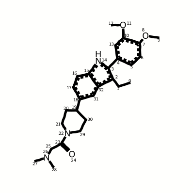 CCc1c(-c2ccc(OC)c(OC)c2)[nH]c2ccc(C3CCN(C(=O)CN(C)C)CC3)cc12